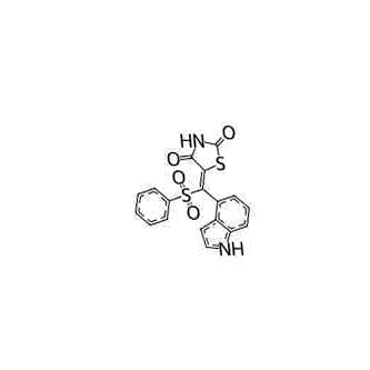 O=C1NC(=O)C(=C(c2cccc3[nH]ccc23)S(=O)(=O)c2ccccc2)S1